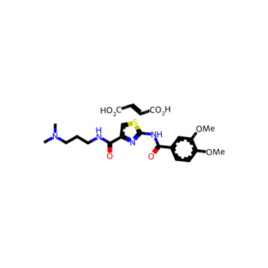 COc1ccc(C(=O)Nc2nc(C(=O)NCCCN(C)C)cs2)cc1OC.O=C(O)C=CC(=O)O